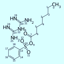 CCCCCCCC(=O)OS(=O)(=O)c1ccccc1.N=C(N)NC(=N)N